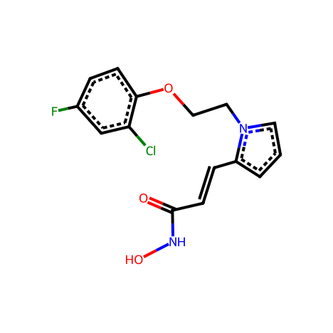 O=C(/C=C/c1cccn1CCOc1ccc(F)cc1Cl)NO